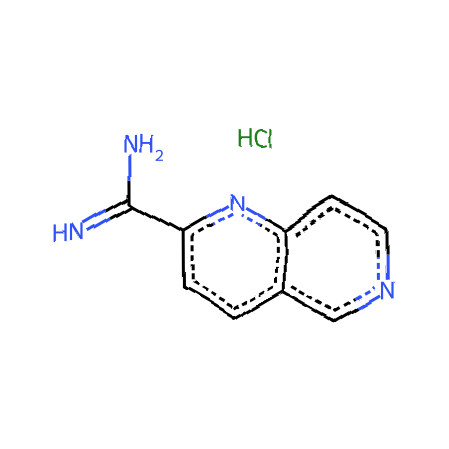 Cl.N=C(N)c1ccc2cnccc2n1